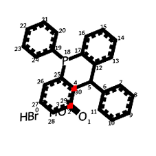 Br.O=C(O)CC(c1ccccc1)c1ccccc1P(c1ccccc1)c1ccccc1